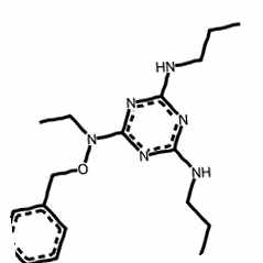 CCCNc1nc(NCCC)nc(N(CC)OCc2ccccc2)n1